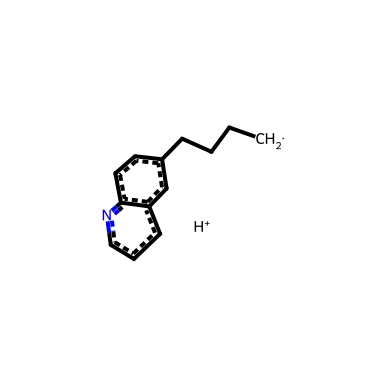 [CH2]CCCc1ccc2ncccc2c1.[H+]